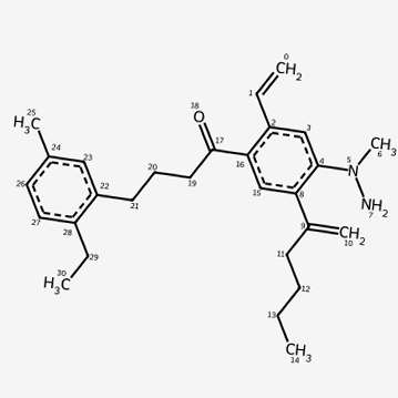 C=Cc1cc(N(C)N)c(C(=C)CCCC)cc1C(=O)CCCc1cc(C)ccc1CC